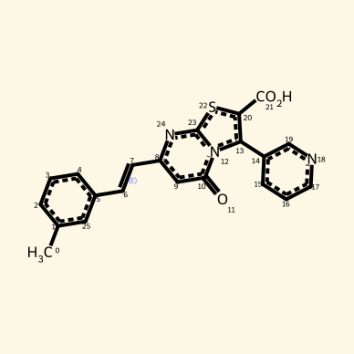 Cc1cccc(/C=C/c2cc(=O)n3c(-c4cccnc4)c(C(=O)O)sc3n2)c1